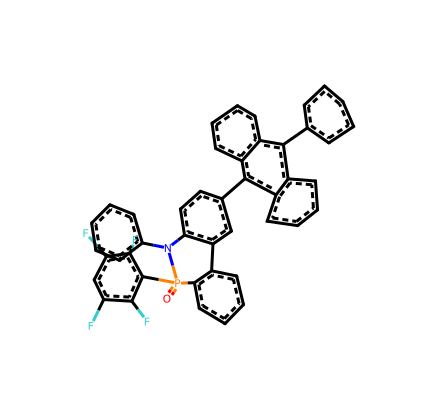 O=P1(c2c(F)c(F)cc(F)c2F)c2ccccc2-c2cc(-c3c4ccccc4c(-c4ccccc4)c4ccccc34)ccc2N1c1ccccc1